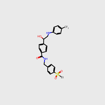 CCS(=O)(=O)c1ccc(CNC(=O)c2ccc(C(O)CNc3ccc(C(F)(F)F)cc3)cc2)cc1